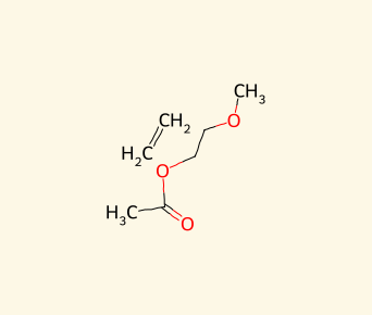 C=C.COCCOC(C)=O